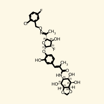 CC(=Cc1ccc(O[C@@H]2O[C@H](C(C)=NOCc3cc(F)ccc3Cl)[C@@H](O)[C@@H]2F)c(O)c1)C(=O)N[C@@H]1[C@H](O)[C@@H](O)[C@H]2OCO[C@H]2[C@@H]1O